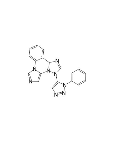 C1=NC2c3ccccc3-n3cncc3N2N1c1cnnn1-c1ccccc1